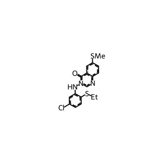 CCSc1ccc(Cl)cc1Nn1cnc2ccc(SC)cc2c1=O